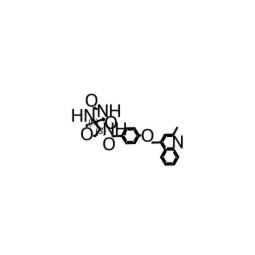 Cc1cc(COc2ccc(C(=O)N[C@@H]3COC[C@]34NC(=O)NC4=O)cc2)c2ccccc2n1